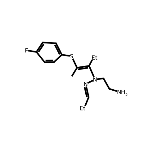 CC/C=N/N(CCN)/C(CC)=C(\C)Sc1ccc(F)cc1